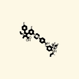 CC[C@@H](C)NC1CCC(SNc2ccc(N3CCN(c4cc(F)cc(-c5c(C(=O)O)c(C)n(CC)c5-c5ccc(F)cc5)c4)CC3)cc2)C=C1S(=O)(=O)C(F)(F)F